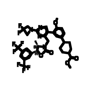 COC(=O)C1CCC(c2ccc(OC)c(-c3cnc(N4CC(F)(F)C4)nc3CN3C(=O)O[C@H](c4cc(C(F)(F)F)cc(C(F)(F)F)c4)[C@@H]3C)c2)CC1